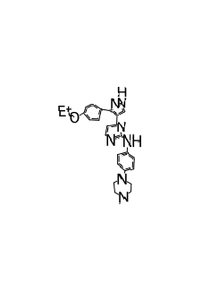 CCOc1ccc(-c2n[nH]cc2-c2ccnc(Nc3ccc(N4CCN(C)CC4)cc3)n2)cc1